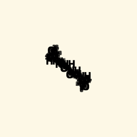 CCC(=O)N1c2ccccc2[C@H](Nc2ccc(C(=O)NCCC(=O)Nc3ccc(N[C@@H]4C[C@H](C)N(C(=O)CC)c5ccccc54)nc3)cc2)C[C@@H]1C